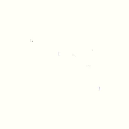 CC(N1CCNCC1)N1CCN(CCN)CC1